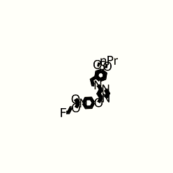 CCCS(=O)(=O)c1ccc2c(c1)CCN2c1cc(OC2CCN(C(=O)OCCF)CC2)ncn1